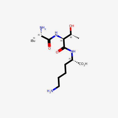 CC[C@H](C)[C@H](N)C(=O)N[C@H](C(=O)N[C@@H](CCCCN)C(=O)O)[C@@H](C)O